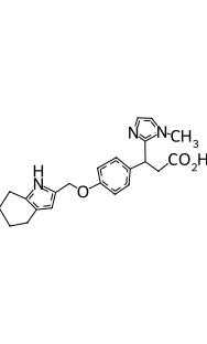 Cn1ccnc1C(CC(=O)O)c1ccc(OCc2cc3c([nH]2)CCCC3)cc1